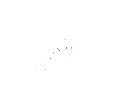 C=S(=O)(C1CCCCC1)C(C)(C)c1ncc(-c2cc(C(C)(C)C)nn2C)o1